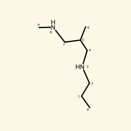 CCCNCC(C)CNC